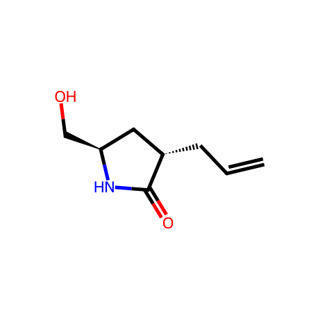 C=CC[C@H]1C[C@H](CO)NC1=O